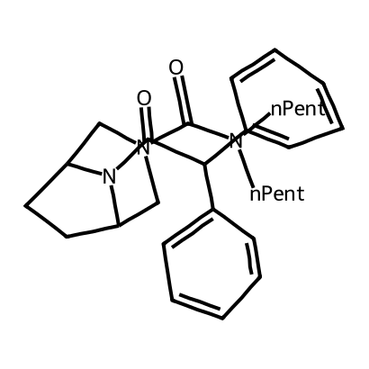 CCCCCN(CCCCC)C(=O)N1CC2CCC(C1)N2C(=O)C(c1ccccc1)c1ccccc1